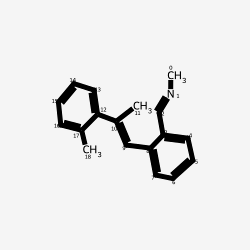 C/N=C/c1ccccc1/C=C(\C)c1ccccc1C